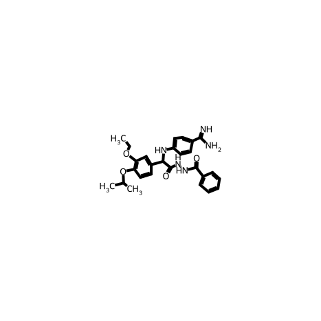 CCOc1cc(C(Nc2ccc(C(=N)N)cc2)C(=O)NNC(=O)c2ccccc2)ccc1OC(C)C